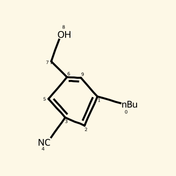 CCCCc1cc(C#N)cc([CH]O)c1